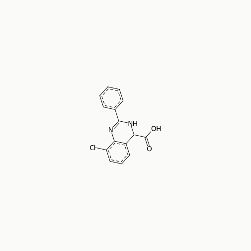 O=C(O)C1NC(c2ccccc2)=Nc2c(Cl)cccc21